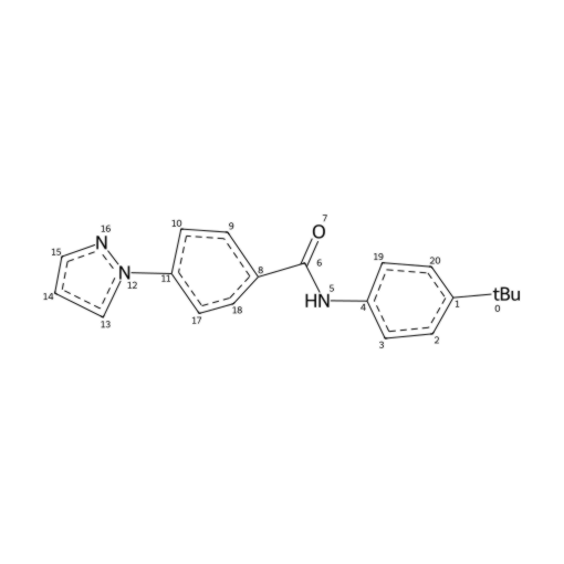 CC(C)(C)c1ccc(NC(=O)c2ccc(-n3cccn3)cc2)cc1